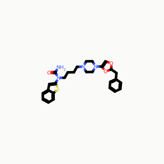 NC(=O)N(CCCCN1CCN(C2=COC(Cc3ccccc3)O2)CC1)c1cc2ccccc2s1